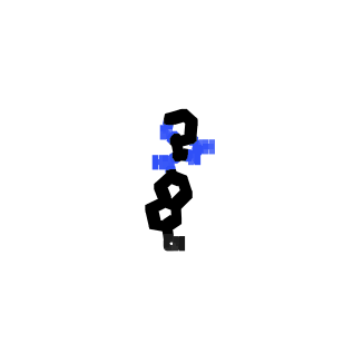 N#Cc1ccc2cc(Nc3n[nH]c4cccnc34)ccc2c1